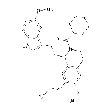 CCOc1cc2c(cc1CN)CCN(C(=O)N1CCOCC1)C2CCc1c[nH]c2ccc(OC)cc12